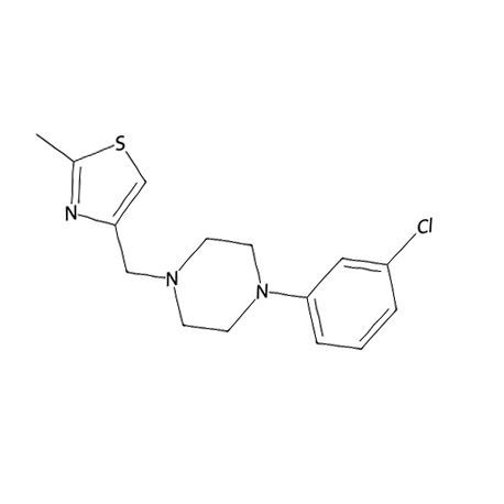 Cc1nc(CN2CCN(c3cccc(Cl)c3)CC2)cs1